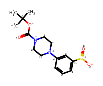 CC(C)(C)OC(=O)N1CCN(c2cccc(S(=O)O)c2)CC1